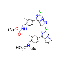 Cc1cc(-c2nc(Cl)cn3nccc23)ccc1CN(C(=O)O)C(C)(C)C.Cc1cc(-c2nc(Cl)cn3nccc23)ccc1CNC(=O)OC(C)(C)C